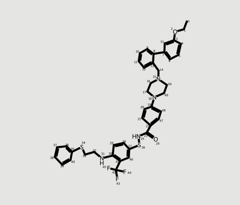 CCOc1cccc(-c2ccccc2CN2CCN(c3ccc(C(=O)NSc4ccc(NCCSc5ccccc5)c(C(F)(F)F)c4)cc3)CC2)c1